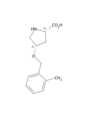 Cc1ccccc1CO[C@@H]1CN[C@H](C(=O)O)C1